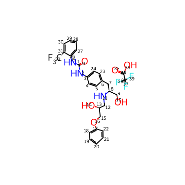 O=C(Nc1ccc(C[C@@H](CO)NC[C@H](O)COc2ccccc2)cc1)Nc1ccccc1C(F)(F)F.O=C(O)C(F)(F)F